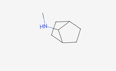 CNC1C2CCC1CC2